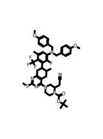 COc1ccc(CN(Cc2ccc(OC)cc2)c2cc(C)c(C(F)(F)F)c(C3Cc4nc(SC)nc(N5CCN(C(=O)OC(C)(C)C)C(CC#N)C5)c4CC3C)c2F)cc1